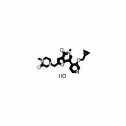 CN1CCN(Cc2cc3c(=O)n(C)cc(-c4ccncc4OCC4CC4)c3o2)CC1=O.Cl